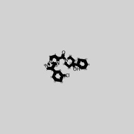 O=C(c1ccn2ncc(-c3cccc(Cl)c3)c2n1)N1CCC(O)(c2ccccc2)CC1